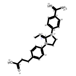 C/N=C1\N(c2ccc(CCC(=O)O)cc2)CCN1c1ccc(C(=N)N)cc1